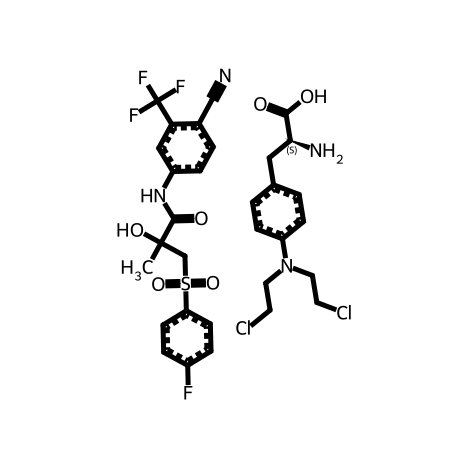 CC(O)(CS(=O)(=O)c1ccc(F)cc1)C(=O)Nc1ccc(C#N)c(C(F)(F)F)c1.N[C@@H](Cc1ccc(N(CCCl)CCCl)cc1)C(=O)O